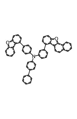 c1ccc(-c2ccc(N(c3ccc(-c4cccc5oc6ccccc6c45)cc3)c3cccc(-c4cccc5oc6c7ccccc7ccc6c45)c3)cc2)cc1